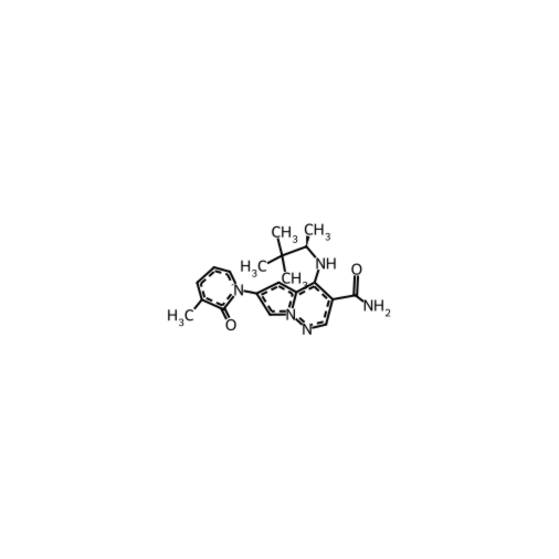 Cc1cccn(-c2cc3c(N[C@H](C)C(C)(C)C)c(C(N)=O)cnn3c2)c1=O